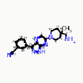 CC1(CN)CCN(c2cnc3c(-c4cccc(C#N)c4)n[nH]c3n2)CC1